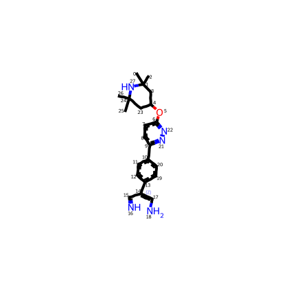 CC1(C)CC(Oc2ccc(-c3ccc(/C(C=N)=C/N)cc3)nn2)CC(C)(C)N1